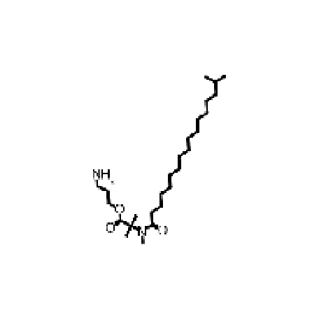 CC(C)CCCCCCCCCCCCCCC(=O)N(C)C(C)(C)C(=O)OCCCN